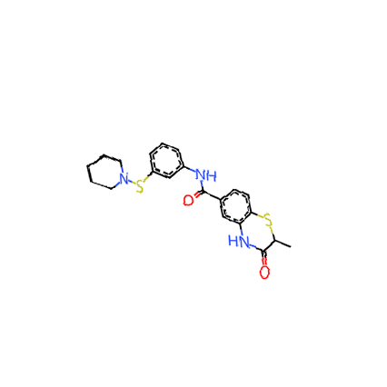 CC1Sc2ccc(C(=O)Nc3cccc(SN4CCCCC4)c3)cc2NC1=O